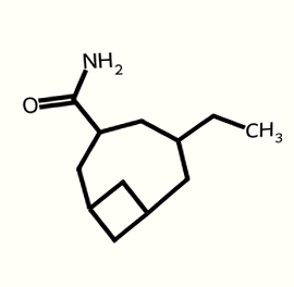 CCC1CC2CC(C2)CC(C(N)=O)C1